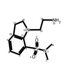 CN(C)S(=O)(=O)c1cccc2c1N(CCN)CC2